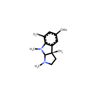 COc1cc([N+](=O)[O-])c2c(c1)[C@]1(C)CCN(C)C1N2C